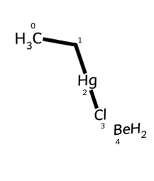 C[CH2][Hg][Cl].[BeH2]